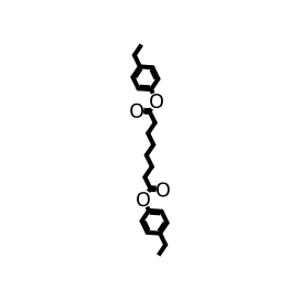 CCc1ccc(OC(=O)CCCCCCC(=O)Oc2ccc(CC)cc2)cc1